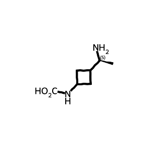 C[C@H](N)C1CC(NC(=O)O)C1